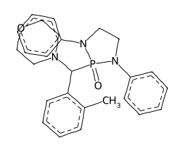 Cc1ccccc1C(N1CCOCC1)P1(=O)N(c2ccccc2)CCN1c1ccccc1